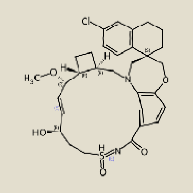 CO[C@H]1/C=C/[C@H](O)CC/[SH](=O)=N\C(=O)c2ccc3c(c2)N(C[C@@H]2CC[C@H]21)C[C@@]1(CCCc2cc(Cl)ccc21)CO3